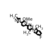 COc1nc(-c2cc(C)c(N3Cc4cc(F)ccc4C3C)nn2)ccc1-n1cnc(C)c1